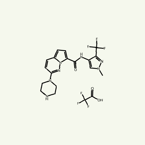 Cn1cc(NC(=O)c2ccc3ccc(N4CCNCC4)nn23)c(C(F)(F)F)n1.O=C(O)C(F)(F)F